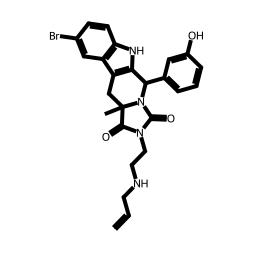 C=CCNCCN1C(=O)N2C(c3cccc(O)c3)c3[nH]c4ccc(Br)cc4c3CC2(C)C1=O